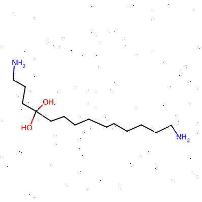 NCCCCCCCCCCC(O)(O)CCCN